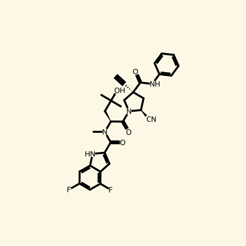 C#C[C@]1(C(=O)Nc2ccccc2)C[C@@H](C#N)N(C(=O)[C@H](CC(C)(C)O)N(C)C(=O)c2cc3c(F)cc(F)cc3[nH]2)C1